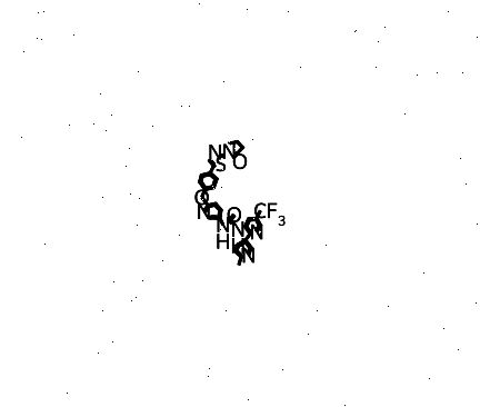 Cc1ccc(-c2ncc(C(F)(F)F)cc2NC(=O)Nc2ccc(Oc3ccc(-c4cnc(N5CCCC5=O)s4)cc3)nc2)cn1